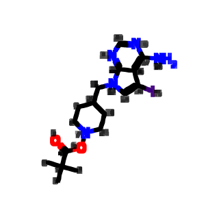 CC(C)(C)C(=O)ON1CCC(Cn2cc(I)c3c(N)ncnc32)CC1